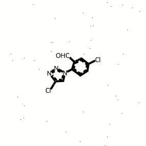 O=Cc1cc(Cl)ccc1-n1cc(Cl)nn1